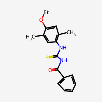 CCOc1cc(C)c(NC(=S)NC(=O)c2ccccc2)cc1C